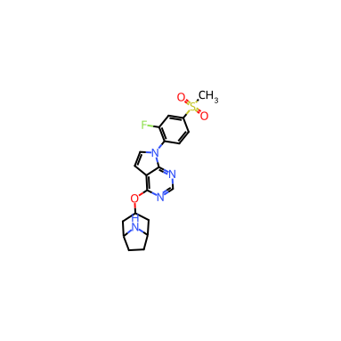 CS(=O)(=O)c1ccc(-n2ccc3c(OC4CC5CCC(C4)N5)ncnc32)c(F)c1